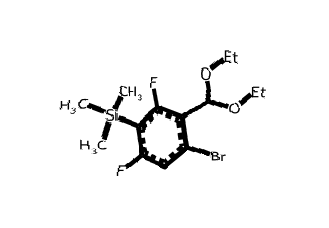 CCOC(OCC)c1c(Br)cc(F)c([Si](C)(C)C)c1F